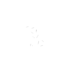 O=C(O)c1ccc2cc3n(c2c1)CCNCc1cc(F)ccc1-3